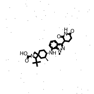 C[C@H]1CC2(CC[C@@H]1Nc1cccc3c(C4CCC(=O)NC4=O)nn(C)c13)CN(C(=O)O)C2C(C)(C)C